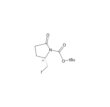 CC(C)(C)OC(=O)N1C(=O)CC[C@H]1CI